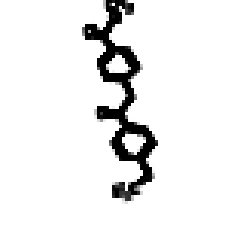 COC(=O)c1ccc(CC(=O)c2ccc(SC)cc2)cc1